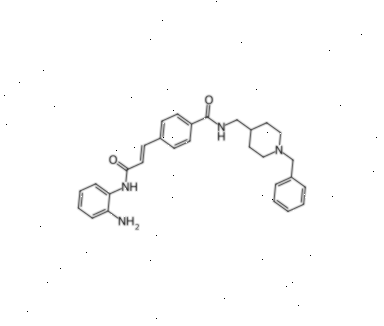 Nc1ccccc1NC(=O)C=Cc1ccc(C(=O)NCC2CCN(Cc3ccccc3)CC2)cc1